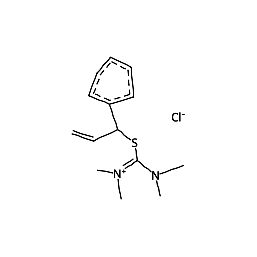 C=CC(SC(N(C)C)=[N+](C)C)c1ccccc1.[Cl-]